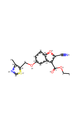 CCOC(=O)c1c(C#N)oc2ccc(OCc3scnc3C)cc12